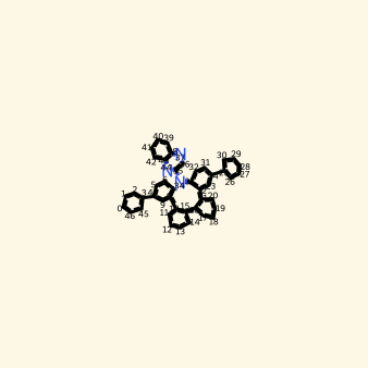 c1ccc(-c2ccc3c(c2)c2ccccc2c2ccccc2c2cc(-c4ccccc4)ccc2n3-c2cnc3ccccc3n2)cc1